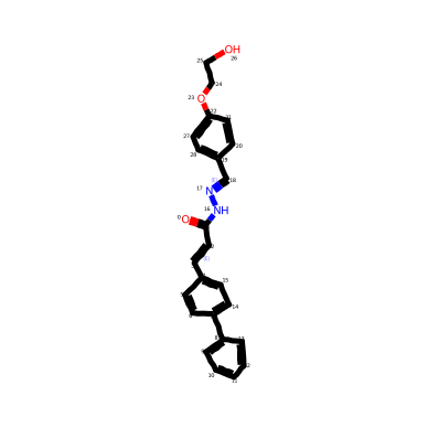 O=C(/C=C/c1ccc(-c2ccccc2)cc1)N/N=C/c1ccc(OCCO)cc1